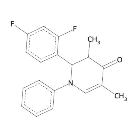 CC1=CN(c2ccccc2)C(c2ccc(F)cc2F)C(C)C1=O